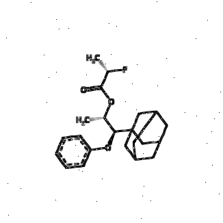 C[C@H](F)C(=O)O[C@@H](C)[C@H](Oc1ccccc1)C12CC3CC(CC(C3)C1)C2